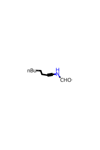 CCCCCCC#CN[C]=O